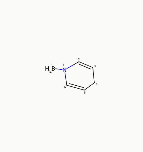 BN1C=CCC=C1